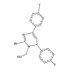 CC(C)C1=NC(c2ccc(F)cc2)=CC(c2ccc(F)cc2)N1CO